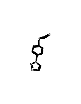 S=C=Nc1ccc(-n2ccnn2)cc1